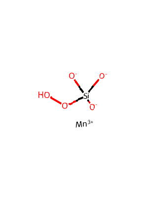 [Mn+3].[O-][Si]([O-])([O-])OO